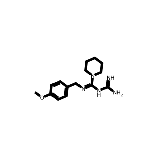 COc1ccc(C/N=C(/NC(=N)N)N2CCCCC2)cc1